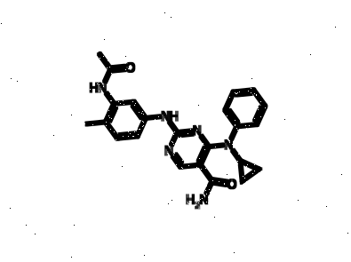 CC(=O)Nc1cc(Nc2ncc(C(N)=O)c(N(c3ccccc3)C3CC3)n2)ccc1C